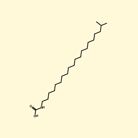 CC(C)CCCCCCCCCCCCCCCCCCNC(=O)O